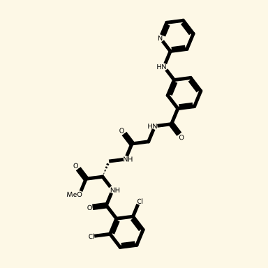 COC(=O)[C@H](CNC(=O)CNC(=O)c1cccc(Nc2ccccn2)c1)NC(=O)c1c(Cl)cccc1Cl